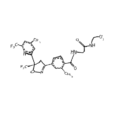 Cc1cc(C2=NO[C@@](c3cc(C(F)(F)F)cc(C(F)(F)F)n3)(C(F)(F)F)C2)ccc1C(=O)NCC(=O)NCC(F)(F)F